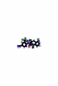 N#Cc1cnc(NC(=O)N2[C@H]3CC[C@@H]2c2ccnc(F)c2C3)c(C(F)(F)F)c1